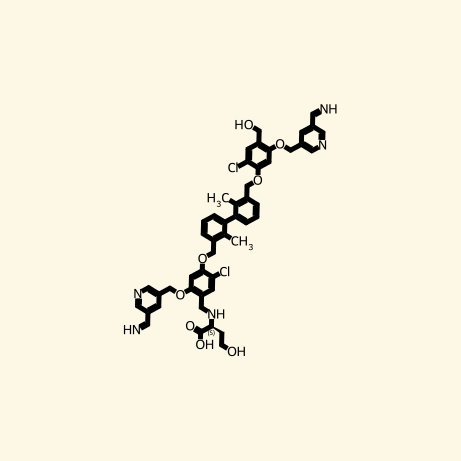 Cc1c(COc2cc(OCc3cncc(C=N)c3)c(CO)cc2Cl)cccc1-c1cccc(COc2cc(OCc3cncc(C=N)c3)c(CN[C@@H](CCO)C(=O)O)cc2Cl)c1C